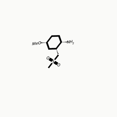 CO[C@@H]1CC[C@H](N)[C@H](CS(C)(=O)=O)C1